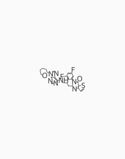 O=c1c2sccc2nc(CCCNc2ncnc3c2ncn3C2CCCCO2)n1-c1cc(F)cc(F)c1